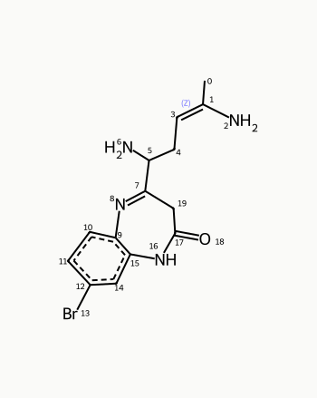 C/C(N)=C/CC(N)C1=Nc2ccc(Br)cc2NC(=O)C1